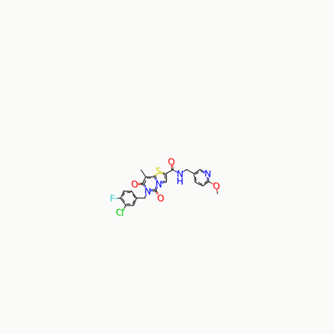 COc1ccc(CNC(=O)c2cn3c(=O)n(Cc4ccc(F)c(Cl)c4)c(=O)c(C)c3s2)cn1